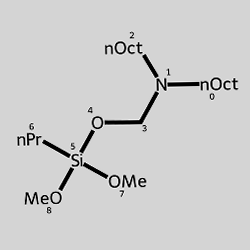 CCCCCCCCN(CCCCCCCC)CO[Si](CCC)(OC)OC